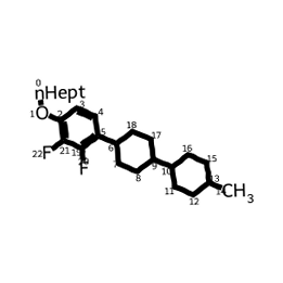 CCCCCCCOc1ccc(C2CCC(C3CCC(C)CC3)CC2)c(F)c1F